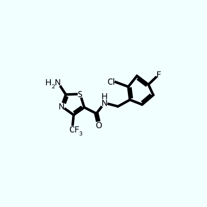 Nc1nc(C(F)(F)F)c(C(=O)NCc2ccc(F)cc2Cl)s1